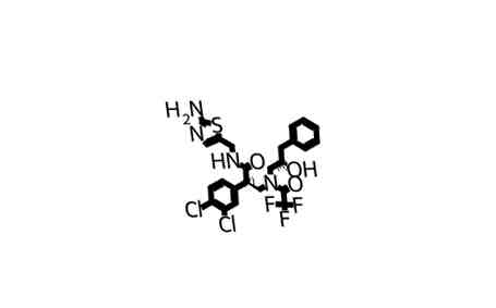 Nc1ncc(CNC(=O)[C@@H](CN(C[C@H](O)Cc2ccccc2)C(=O)C(F)(F)F)c2ccc(Cl)c(Cl)c2)s1